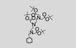 CC(C)(C)OC(=O)CN(CCN(CC(=O)OC(C)(C)C)CC(=O)OC(C)(C)C)CCN(CC(=O)OC(C)(C)C)Cc1ccccc1